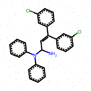 NC(C=C(c1cccc(Cl)c1)c1cccc(Cl)c1)N(c1ccccc1)c1ccccc1